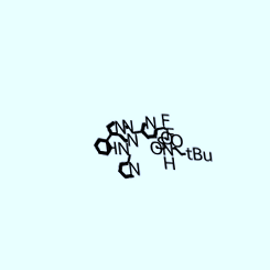 CC(C)(C)CC(=O)NS(=O)(=O)c1cc(-c2nc(NCc3ccccn3)c3c(-c4ccccc4)ccn3n2)cnc1C(F)F